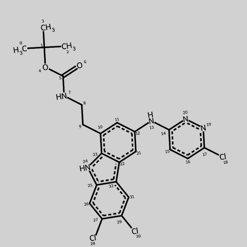 CC(C)(C)OC(=O)NCCc1cc(Nc2ccc(Cl)nn2)cc2c1[nH]c1cc(Cl)c(Cl)cc12